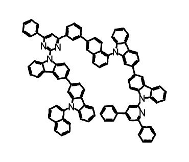 c1ccc(-c2cc(-c3ccccc3)nc(-n3c4ccccc4c4cc(-c5ccc6c7ccccc7n(-c7cccc8cc(-c9cccc(-c%10cc(-c%11ccccc%11)nc(-n%11c%12ccccc%12c%12cc(-c%13ccc%14c%15ccccc%15n(-c%15cccc%16ccccc%15%16)c%14c%13)ccc%12%11)n%10)c9)ccc78)c6c5)ccc43)c2)cc1